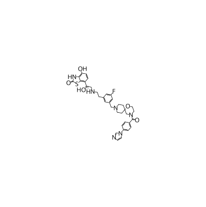 O=C(c1ccc(-n2ccnc2)cc1)N1CCOC2(CCN(Cc3cc(F)cc(CCNC[C@H](O)c4ccc(O)c5[nH]c(=O)sc45)c3)CC2)C1